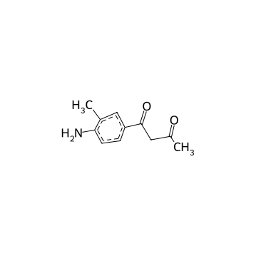 CC(=O)CC(=O)c1ccc(N)c(C)c1